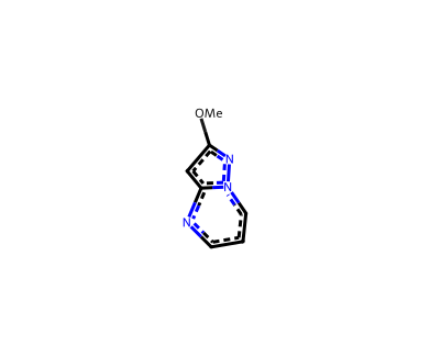 COc1cc2ncccn2n1